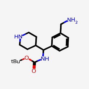 CC(C)(C)OC(=O)NC(c1cccc(CN)c1)C1CCNCC1